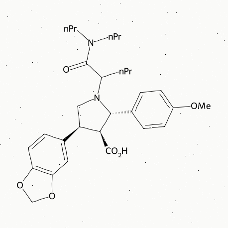 CCCC(C(=O)N(CCC)CCC)N1C[C@H](c2ccc3c(c2)OCO3)[C@H](C(=O)O)[C@H]1c1ccc(OC)cc1